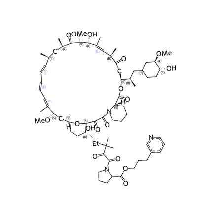 CCC(C)(C)C(=O)C(=O)N1CCCC1C(=O)OCCCc1cccnc1.CO[C@H]1C[C@@H]2CC[C@@H](C)[C@@](O)(O2)C(=O)C(=O)N2CCCC[C@H]2C(=O)O[C@H]([C@H](C)C[C@@H]2CC[C@@H](O)[C@H](OC)C2)CC(=O)[C@H](C)/C=C(\C)[C@@H](O)[C@@H](OC)C(=O)[C@H](C)C[C@H](C)/C=C/C=C/C=C/1C